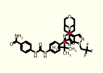 CC(C)(C)OC(=O)N1CC2COCC(C1)N2c1nc(-c2ccc(NC(=O)Nc3ccc(C(N)=O)cc3)cc2)nc2c1cnn2CC(F)(F)F